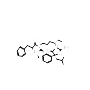 CC[C@H](CCCN(C(=O)OC)C(=O)[C@@H](N)Cc1ccccc1)N1C(=N)N[C@](CC(C)C)(c2ccccc2)C1=O